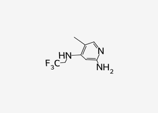 Cc1cnc(N)cc1NCC(F)(F)F